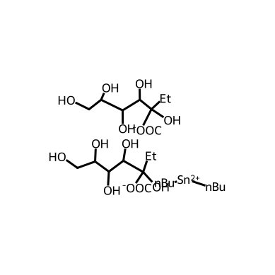 CCC(O)(C(=O)[O-])C(O)C(O)C(O)CO.CCC(O)(C(=O)[O-])C(O)C(O)C(O)CO.CCC[CH2][Sn+2][CH2]CCC